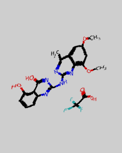 COc1cc(OC)c2nc(Nc3nc(O)c4c(O)cccc4n3)nc(C)c2c1.O=C(O)C(F)(F)F